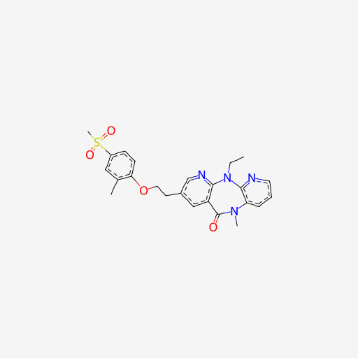 CCN1c2ncc(CCOc3ccc(S(C)(=O)=O)cc3C)cc2C(=O)N(C)c2cccnc21